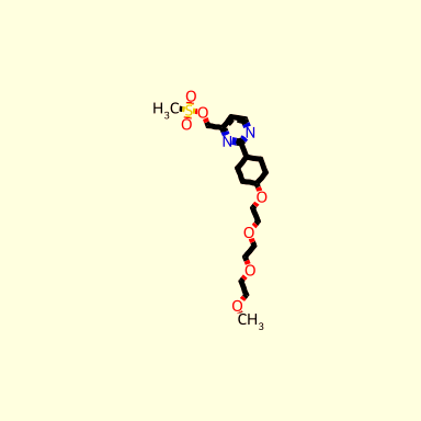 COCCOCCOCCOC1CCC(c2nccc(COS(C)(=O)=O)n2)CC1